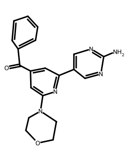 Nc1ncc(-c2cc(C(=O)c3ccccc3)cc(N3CCOCC3)n2)cn1